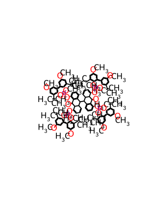 COc1cc(C(C)(C)C)c2op(OC3=CC=CC4C3C(=O)c3c(Op5oc6c(C(C)(C)C)cc(OC)cc6c6cc(OC)cc(C(C)(C)C)c6o5)cccc3C4C3c4cccc(Op5oc6c(C(C)(C)C)cc(OC)cc6c6cc(OC)cc(C(C)(C)C)c6o5)c4C(=O)C4C(Op5oc6c(C(C)(C)C)cc(OC)cc6c6cc(OC)cc(C(C)(C)C)c6o5)=CC=CC43)oc3c(C(C)(C)C)cc(OC)cc3c2c1